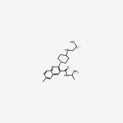 Cc1ccc2nc(N3CCC(NC[C@@H](C)O)CC3)c(C(=O)NC(C)N)cc2c1